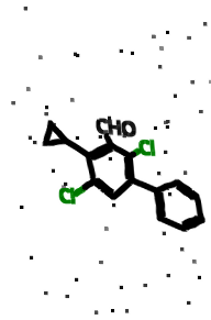 O=Cc1c(Cl)c(-c2ccccc2)cc(Cl)c1C1CC1